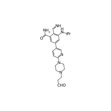 CC(C)Nc1cc(-c2ccc(N3CCN(CCC=O)CC3)nc2)cc(C(N)=O)c1C=N